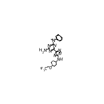 CN(c1ccccc1)c1nc(N)nc(-c2noc(NC3CCC(OCC(F)(F)F)CC3)n2)n1